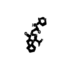 O=C(Cn1nc(C(F)F)n2c(cc3ccccc32)c1=O)Nc1ccncn1